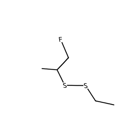 CCSSC(C)CF